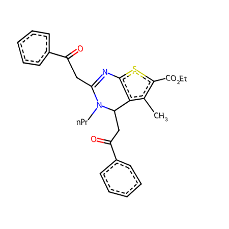 CCCN1C(CC(=O)c2ccccc2)=Nc2sc(C(=O)OCC)c(C)c2C1CC(=O)c1ccccc1